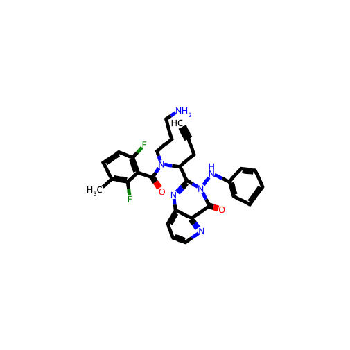 C#CCC(c1nc2cccnc2c(=O)n1Nc1ccccc1)N(CCCN)C(=O)c1c(F)ccc(C)c1F